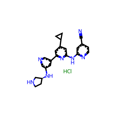 Cl.N#Cc1ccnc(Nc2cc(C3CC3)cc(-c3cncc(N[C@H]4CCNC4)c3)n2)c1